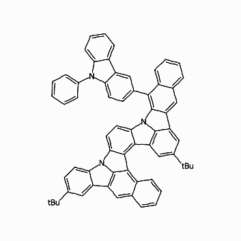 CC(C)(C)c1ccc2c(c1)c1cc3ccccc3c3c4c5c6cc(C(C)(C)C)cc7c8cc9ccccc9c(-c9ccc%10c(c9)c9ccccc9n%10-c9ccccc9)c8n(c5ccc4n2c13)c76